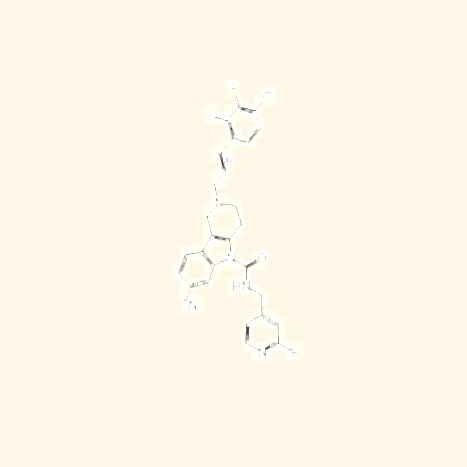 N#Cc1ccc2c3c(n(C(=O)NCc4ccnc(F)c4)c2c1)CCN(C/C=C/c1ccc(Cl)c(F)c1F)C3